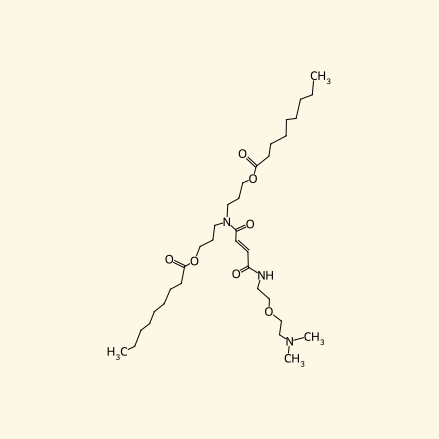 CCCCCCCCC(=O)OCCCN(CCCOC(=O)CCCCCCCC)C(=O)C=CC(=O)NCCOCCN(C)C